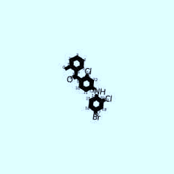 Cc1ccccc1C(=O)c1ccc(Nc2ccc(Br)cc2Cl)cc1Cl